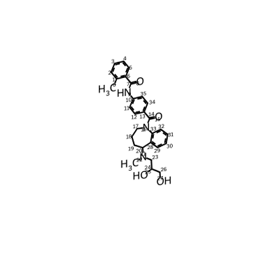 Cc1ccccc1C(=O)Nc1ccc(C(=O)N2CCCC(N(C)CC(O)CO)c3ccccc32)cc1